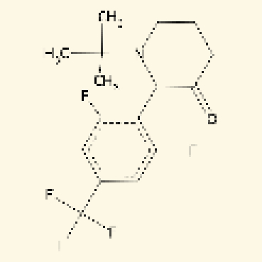 CC(C)(C)N1CCCC(=O)C1c1c(F)cc(C(F)(F)F)cc1F